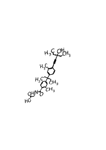 CCC(O)(C#Cc1ccc(C(CC)(CC)c2ccc(C(=O)NCC(=O)O)c(C)c2)cc1C)CC